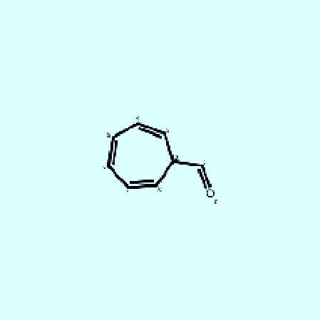 O=[C]C1C=CC=CC=C1